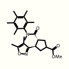 COC(=O)C1C[C@@H](C(=O)N(C)c2c(C)c(C)c(C)c(C)c2C)[C@H](c2noc(C)c2C)C1